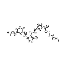 CCCCOC(=O)c1csc(SCCN2C(=O)CC[C@@H]2COc2cccc(CC)c2)n1